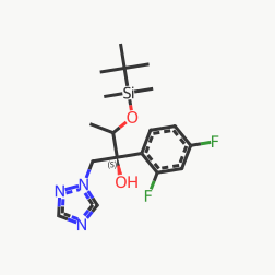 CC(O[Si](C)(C)C(C)(C)C)[C@@](O)(Cn1cncn1)c1ccc(F)cc1F